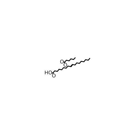 CCCCCC(=O)OC.CCCCCCCCC=CCCCCCCCC(=O)O